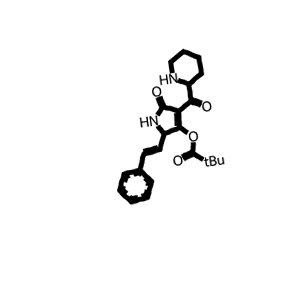 CC(C)(C)C(=O)OC1=C(C(=O)C2CCCCN2)C(=O)NC1C=Cc1ccccc1